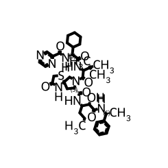 CCCC(NC(=O)[C@@H]1CC2(CN1C(=O)C(NC(=O)[C@@H](NC(=O)c1cnccn1)C1CCCCC1)C(C)(C)C)NC(=O)CS2)C(O)C(=O)N[C@@H](C)c1ccccc1